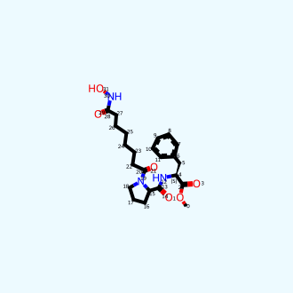 COC(=O)[C@H](Cc1ccccc1)NC(=O)C1CCCN1C(=O)CCCCCCC(=O)NO